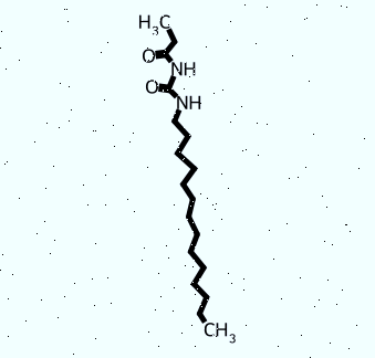 CCCCCCCCCCCCCCNC(=O)NC(=O)CC